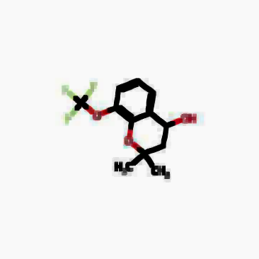 CC1(C)CC(O)c2cccc(OC(F)(F)F)c2O1